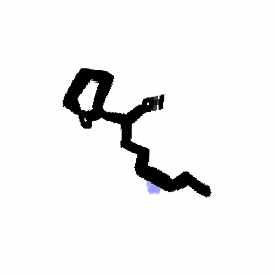 CC/C=C\CCC(O)c1ccco1